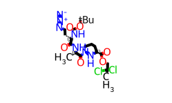 C[C@H](NC(=O)[C@H](CCN=[N+]=[N-])NC(=O)OC(C)(C)C)C(=O)N1CCC[C@@H](C(=O)OCC(C)(Cl)Cl)N1